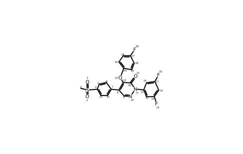 CS(=O)(=O)c1ccc(-c2cnn(-c3cc(F)cc(F)c3)c(=O)c2Oc2ccc(F)cc2)cc1